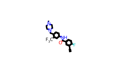 C#Cc1cc(C(=O)Nc2ccc(CN3CCN(C)CC3)c(C(F)(F)F)c2)ccc1F